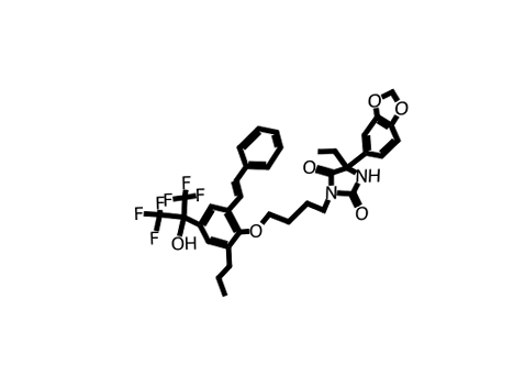 CCCc1cc(C(O)(C(F)(F)F)C(F)(F)F)cc(C=Cc2ccccc2)c1OCCCCN1C(=O)NC(CC)(c2ccc3c(c2)OCO3)C1=O